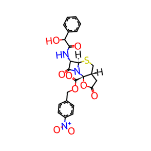 O=C1C[C@H]2CS[C@@H]3[C@H](NC(=O)C(O)c4ccccc4)C(=O)N3[C@@]2(C(=O)OCc2ccc([N+](=O)[O-])cc2)O1